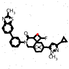 Cc1nc2ccc(-c3cccc(N(CC45CCC(c6cc(C7CC7)nn6C)(CC4)CC5)C(=O)C45CC(F)(C4)C5)c3)cc2s1